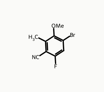 COc1c(Br)cc(F)c(C#N)c1C